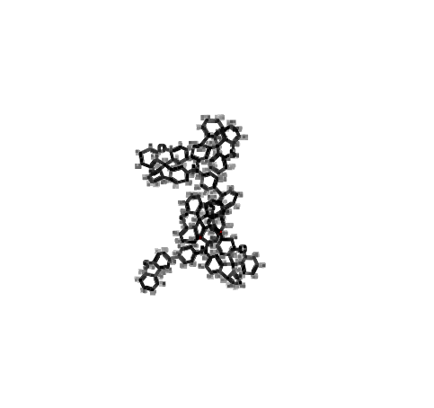 c1ccc2c(c1)Oc1ccccc1C21c2ccccc2-c2ccc(N(c3ccc(-c4cccc5c4sc4ccc(-c6ccc7c(c6)Oc6ccccc6C76c7ccccc7-c7ccc(N(c8ccc(-c9ccc%10sc%11ccccc%11c%10c9)cc8)c8ccc9c(c8)C8(c%10ccccc%10Sc%10ccccc%108)c8ccccc8-9)cc76)cc45)cc3)c3ccc4c(c3)C3(c5ccccc5Sc5ccccc53)c3ccccc3-4)cc21